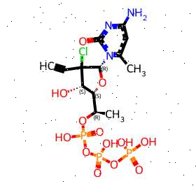 C#CC1(Cl)[C@@H](O)[C@@H]([C@@H](C)OP(=O)(O)OP(=O)(O)OP(=O)(O)O)O[C@H]1n1c(C)cc(N)nc1=O